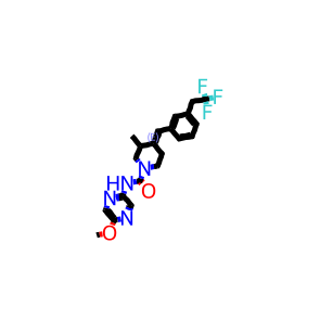 COc1cnc(NC(=O)N2CC/C(=C\c3cccc(CC(F)(F)F)c3)C(C)C2)cn1